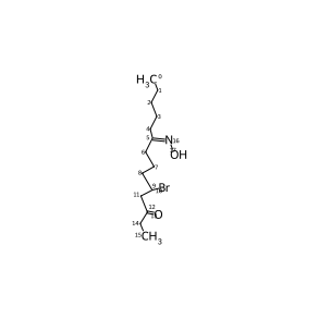 CCCCCC(CCCC(Br)CC(=O)CC)=NO